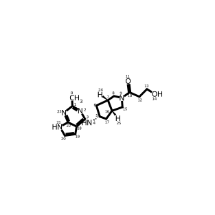 Cc1nc(N[C@@H]2C[C@@H]3CN(C(=O)CCO)C[C@@H]3C2)c2cc[nH]c2n1